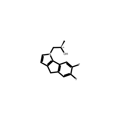 C[C@@H](O)Cn1ccc2c1-c1cc(F)c(F)cc1C2